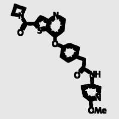 COc1ccc(NC(=O)Cc2ccc(Oc3ccnc4cc(C(=O)N5CCC5)sc34)cc2)cn1